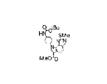 COC(=O)c1cn(C2CCC(NC(=O)OC(C)(C)C)CC2)c2c1CCc1cnc(SC)nc1-2